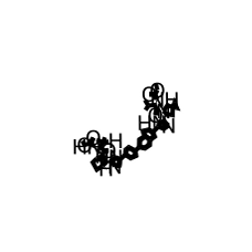 COC(=O)N[C@H](C(=O)N1CC2(CC2)C[C@H]1c1ncc(-c2ccc3cc(-c4ccc(-c5cnc([C@@H]6[C@H]7CCC(C7)N6C(=O)[C@@H](NC(=O)OC)C(C)(C)C)[nH]5)cc4)ccc3c2)[nH]1)C(C)C